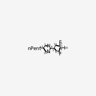 CCCCCc1cnc(-c2cc(F)c(I)c(F)c2)nc1